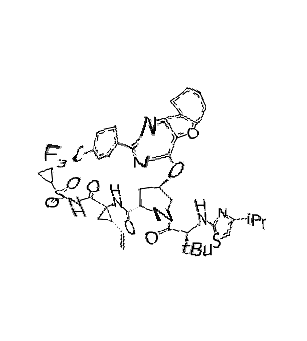 C=C[C@@H]1C[C@]1(NC(=O)[C@@H]1C[C@@H](Oc2nc(-c3ccc(C(F)(F)F)cc3)nc3c2oc2ccccc23)CN1C(=O)[C@@H](Nc1nc(C(C)C)cs1)C(C)(C)C)C(=O)NS(=O)(=O)C1CC1